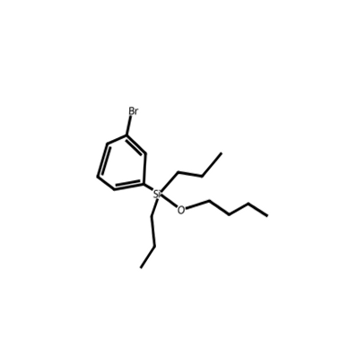 CCCCO[Si](CCC)(CCC)c1cccc(Br)c1